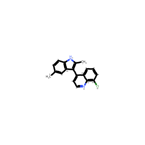 Cc1ccc2[nH]c(C)c(-c3ccnc4c(Cl)cccc34)c2c1